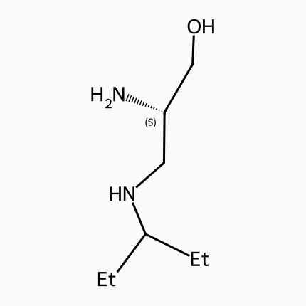 CCC(CC)NC[C@H](N)CO